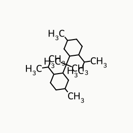 CC1CCC(C(C)C)C(C(C)(C)C2CC(C)CCC2C(C)C)C1